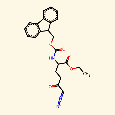 CCOC(=O)C(CCC(=O)C=[N+]=[N-])NC(=O)OCC1c2ccccc2-c2ccccc21